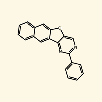 c1ccc(-c2ncc3oc4cc5ccccc5cc4c3n2)cc1